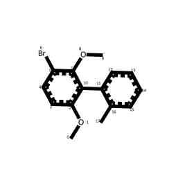 COc1ccc(Br)c(OC)c1-c1ccccc1C